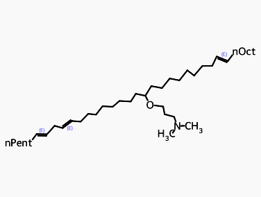 CCCCC/C=C/C/C=C/CCCCCCCCC(CCCCCCCC/C=C/CCCCCCCC)OCCCN(C)C